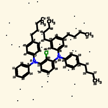 CCCCc1ccc(N(c2ccccc2)c2cccc(N(c3ccc(CCCC)cc3)c3cc(CCCC)cc(CCCC)c3)c2Cl)cc1